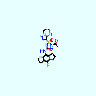 CC(=O)NS(=O)(=NC(=O)Nc1c2c(c(F)c3c1CCC3)CCC2)c1cnn2c1OCCC2